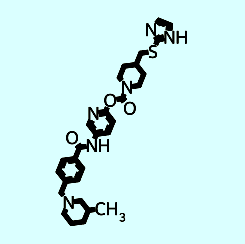 CC1CCCN(Cc2ccc(C(=O)Nc3ccc(OC(=O)N4CCC(CSc5ncc[nH]5)CC4)nc3)cc2)C1